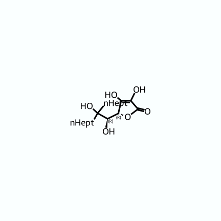 CCCCCCCC(O)(CCCCCCC)[C@H](O)[C@H]1OC(=O)C(O)=C1O